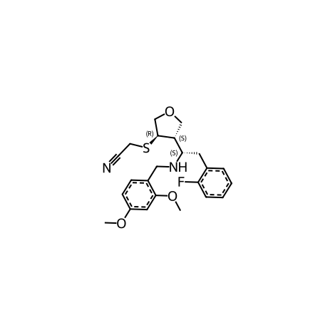 COc1ccc(CN[C@@H](Cc2ccccc2F)[C@H]2COC[C@@H]2SCC#N)c(OC)c1